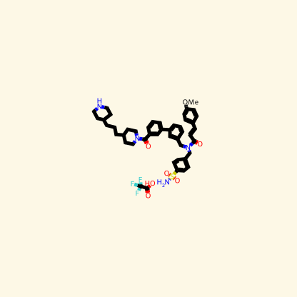 COc1ccc(C=CC(=O)N(Cc2ccc(S(N)(=O)=O)cc2)Cc2cccc(-c3cccc(C(=O)N4CCC(CCCC5CCNCC5)CC4)c3)c2)cc1.O=C(O)C(F)(F)F